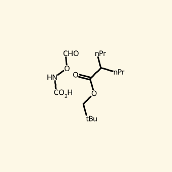 CCCC(CCC)C(=O)OCC(C)(C)C.O=CONC(=O)O